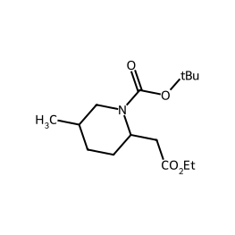 CCOC(=O)CC1CCC(C)CN1C(=O)OC(C)(C)C